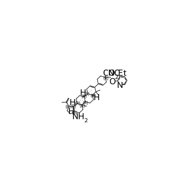 C=C(C)[C@@H]1CC[C@]2(N)CC[C@]3(C)[C@H](CC[C@@H]4[C@@]5(C)CC=C(C6=CC[C@](COc7ncccc7C#N)(C(=O)OCC)CC6)C(C)(C)[C@@H]5CC[C@]43C)[C@@H]12